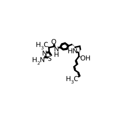 C\C=C/C=C\C=C\[C@@H](O)[C@H]1CC[C@@H](Cc2ccc(NC(=O)[C@@H](C)c3csc(N)n3)cc2)N1